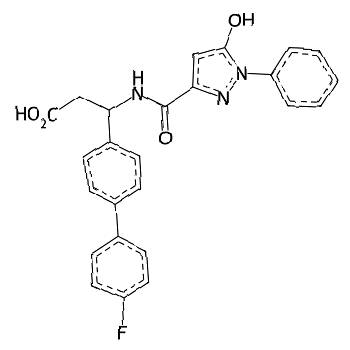 O=C(O)CC(NC(=O)c1cc(O)n(-c2ccccc2)n1)c1ccc(-c2ccc(F)cc2)cc1